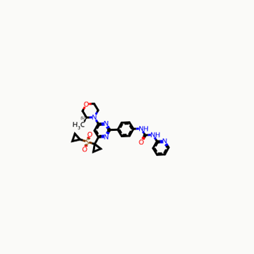 C[C@H]1COCCN1c1cc(C2(S(=O)(=O)C3CC3)CC2)nc(-c2ccc(NC(=O)Nc3ccccn3)cc2)n1